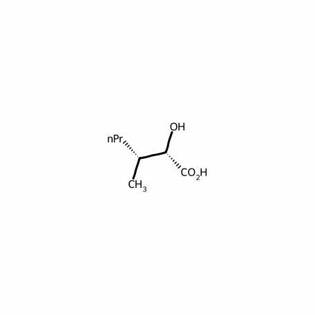 CCC[C@@H](C)[C@H](O)C(=O)O